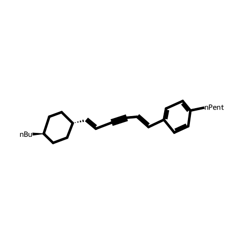 CCCCCc1ccc(/C=C/C#C/C=C/[C@H]2CC[C@H](CCCC)CC2)cc1